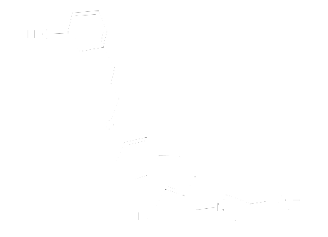 CC1=C(CN2CC(C(=O)O)C2)CCc2cc(OCCCc3cccc(C)c3)ccc21